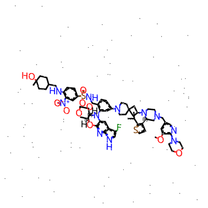 COc1cc(CN2CCN(C3CC4(CCN(c5ccc(C(=O)NS(=O)(=O)c6ccc(NCC7CCC(C)(O)CC7)c([N+](=O)[O-])c6)c(N6c7cc8c(F)c[nH]c8nc7O[C@H]7COCC[C@@H]76)c5)CC4)C3)[C@H](c3ccsc3C(C)C)C2)cnc1N1CCOCC1